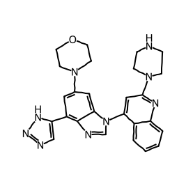 c1ccc2c(-n3cnc4c(-c5cnn[nH]5)cc(N5CCOCC5)cc43)cc(N3CCNCC3)nc2c1